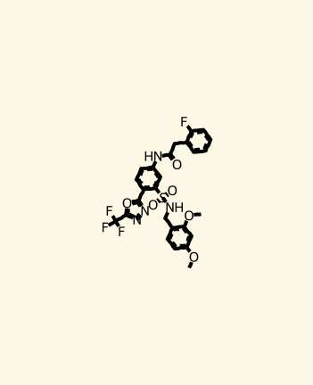 COc1ccc(CNS(=O)(=O)c2cc(NC(=O)Cc3ccccc3F)ccc2-c2nnc(C(F)(F)F)o2)c(OC)c1